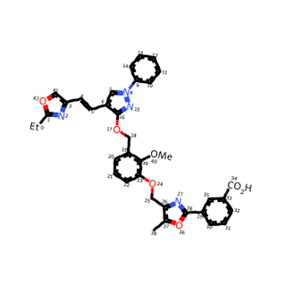 CCc1nc(C=Cc2cn(-c3ccccc3)nc2OCc2cccc(OCc3nc(-c4cccc(C(=O)O)c4)oc3C)c2OC)co1